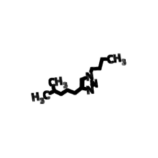 CCCCn1cc(CCCC(C)C)nn1